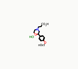 CCCCCCCCOc1ccc(C2CN(CCC(=O)O)CCO2)cc1.Cl